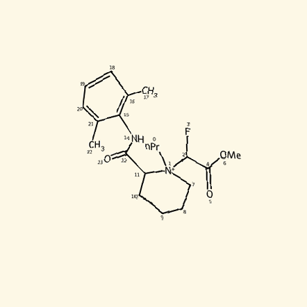 CCC[N+]1(C(F)C(=O)OC)CCCCC1C(=O)Nc1c(C)cccc1C